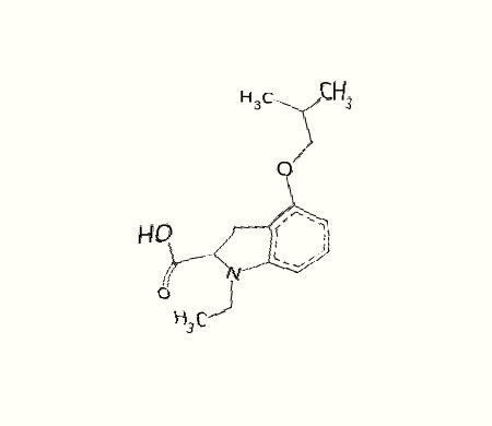 CCN1c2cccc(OCC(C)C)c2CC1C(=O)O